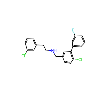 Fc1cccc(-c2cc(CNCCc3cccc(Cl)c3)ccc2Cl)c1